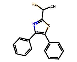 N#CC(S)c1nc(-c2ccccc2)c(-c2ccccc2)s1